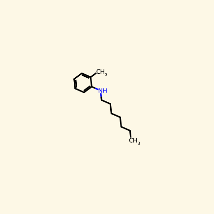 CCCCCCCNc1ccccc1C